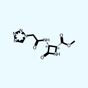 COC(=O)[C@@H]1NC(=O)[C@@H]1NC(=O)Cn1cnnn1